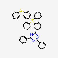 c1ccc(-c2nc(-c3ccccc3)nc(-c3cccc(S(c4ccccc4)(c4ccccc4)c4ccc5sc6ccccc6c5c4)c3)n2)cc1